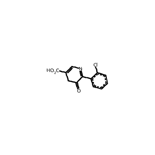 O=C(O)C1=CN=C(c2ccccc2Cl)C(=O)C1